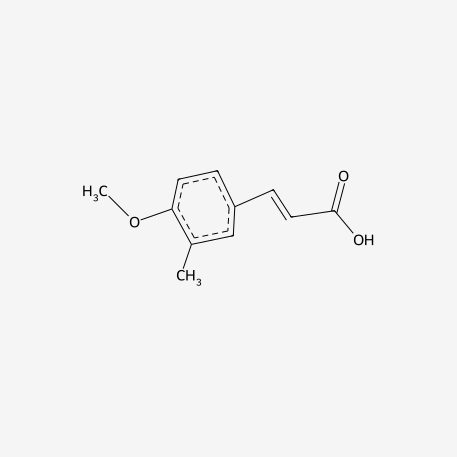 COc1ccc(/C=C/C(=O)O)cc1C